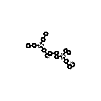 c1ccc(-c2ccc(-c3nc(-c4ccc(-c5ccccc5)cc4)nc(-c4ccc(-c5ccnc6cc(-c7cccc8c(-c9nc(-c%10ccc(-c%11cccc%12cccnc%11%12)cc%10)nc(-c%10cccc%11ccccc%10%11)n9)cccc78)ccc56)cc4)n3)cc2)cc1